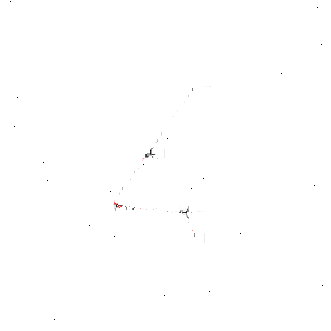 CCCCCCCCCCCCCCCCCCCCCCCCC(C(=O)O)[C@H](O)CCCCCCCCCCCCCCCC[C@H]1C[C@@H]1[C@@H](C)CCCCCCCCCCCCCCCCCC[C@H](O)[C@@H](C)CCCCCCCC